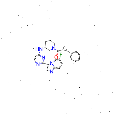 O=C(C1CC1c1ccccc1)N1CCC[C@@H](Nc2ccnc(-c3cnc4ccc(F)cn34)n2)C1